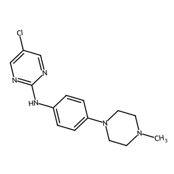 CN1CCN(c2ccc(Nc3ncc(Cl)cn3)cc2)CC1